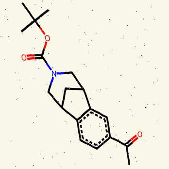 CC(=O)c1ccc2c(c1)C1CC2CN(C(=O)OC(C)(C)C)C1